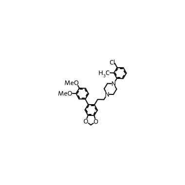 COc1ccc(-c2cc3c(cc2CCN2CCN(c4cccc(Cl)c4C)CC2)OCO3)cc1OC